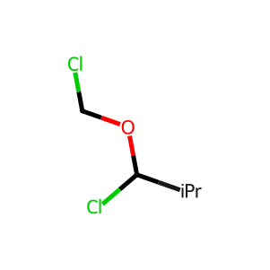 CC(C)C(Cl)OCCl